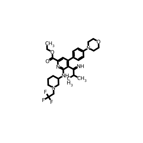 CCOC(=O)c1cc(-c2ccc(N3CCOCC3)cc2)c(C(=N)C(C)C)c(NC2CCCN(CC(F)(F)F)C2)n1